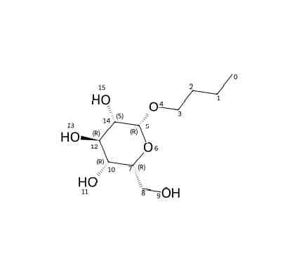 CCCCO[C@@H]1O[C@H](CO)[C@H](O)[C@@H](O)[C@@H]1O